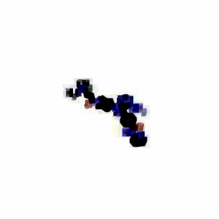 CN(C)C/C=C/C(=O)N1CC2CC(n3nc(-c4ccc(C(=O)Nc5ccccn5)cc4)c4c(N)ncnc43)CC2C1